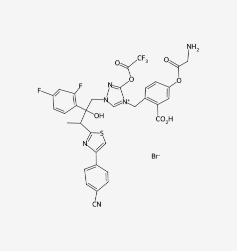 CC(c1nc(-c2ccc(C#N)cc2)cs1)C(O)(Cn1c[n+](Cc2ccc(OC(=O)CN)cc2C(=O)O)c(OC(=O)C(F)(F)F)n1)c1ccc(F)cc1F.[Br-]